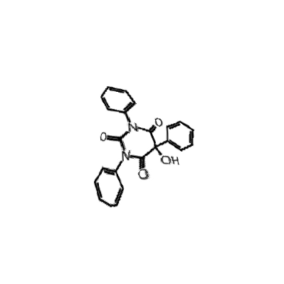 O=C1N(c2ccccc2)C(=O)C(O)(c2ccccc2)C(=O)N1c1ccccc1